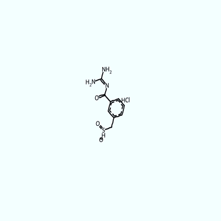 Cl.NC(N)=NC(=O)c1cccc(C[SH](=O)=O)c1